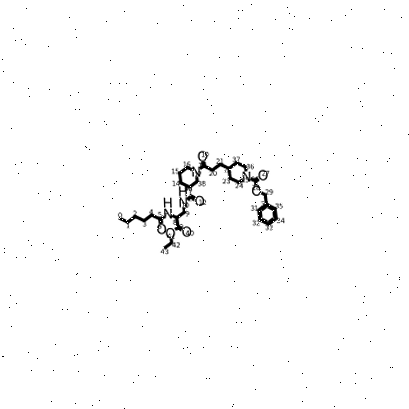 CCCCCC(=O)NC(CNC(=O)[C@@H]1CCCN(C(=O)CCC2CCN(C(=O)OCc3ccccc3)CC2)C1)C(=O)OCC